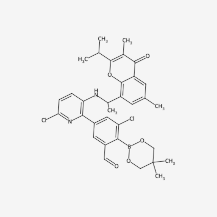 Cc1cc(C(C)Nc2ccc(Cl)nc2-c2cc(Cl)c(B3OCC(C)(C)CO3)c(C=O)c2)c2oc(C(C)C)c(C)c(=O)c2c1